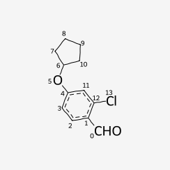 O=Cc1ccc(OC2CCCC2)cc1Cl